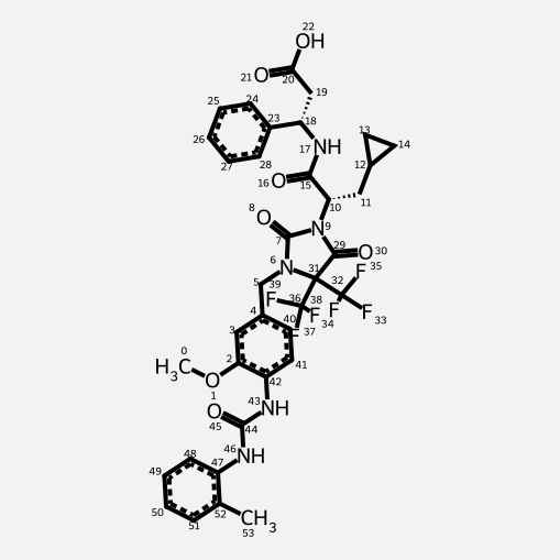 COc1cc(CN2C(=O)N([C@@H](CC3CC3)C(=O)N[C@@H](CC(=O)O)c3ccccc3)C(=O)C2(C(F)(F)F)C(F)(F)F)ccc1NC(=O)Nc1ccccc1C